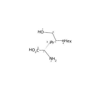 CC(C)[C@H](N)C(=O)O.CCCCCCCCO